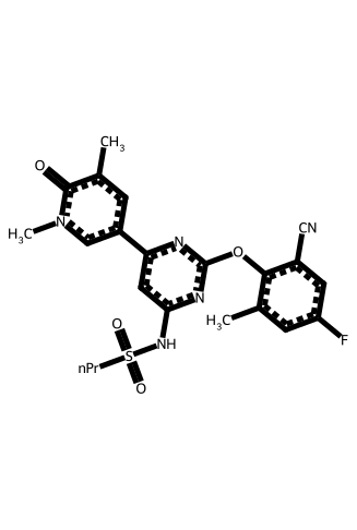 CCCS(=O)(=O)Nc1cc(-c2cc(C)c(=O)n(C)c2)nc(Oc2c(C)cc(F)cc2C#N)n1